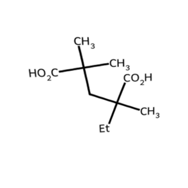 CCC(C)(CC(C)(C)C(=O)O)C(=O)O